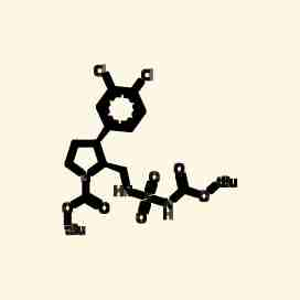 CC(C)(C)OC(=O)NS(=O)(=O)NC[C@@H]1[C@H](c2ccc(Cl)c(Cl)c2)CCN1C(=O)OC(C)(C)C